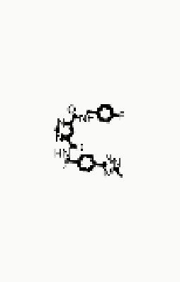 C[C@H](NC(=O)c1cc(C(=O)NCc2ccc(F)cc2)ncn1)c1ccc(-c2nnn(C)n2)cc1